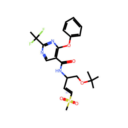 CC(C)(C)OCC(/C=C/S(C)(=O)=O)NC(=O)c1cnc(C(C)(F)F)nc1Oc1ccccc1